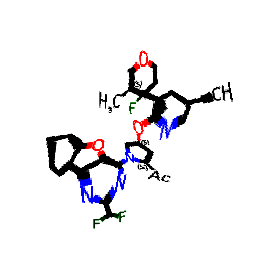 C#Cc1cnc(O[C@H]2C[C@@H](C(C)=O)N(c3nc(C(F)F)nc4c3oc3ccccc34)C2)c([C@@]2(F)CCOC[C@@H]2C)c1